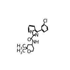 CC1(C)CC(NC(=O)c2nc(-c3cccc(Cl)c3)c3ccccn23)CCO1